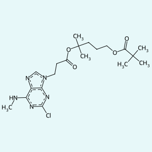 CNc1nc(Cl)nc2c1ncn2CCC(=O)OC(C)(C)CCCOC(=O)C(C)(C)C